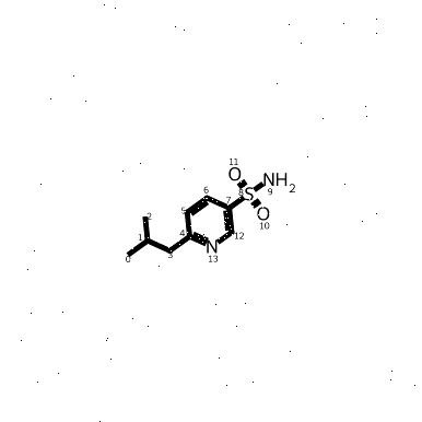 CC(C)Cc1ccc(S(N)(=O)=O)cn1